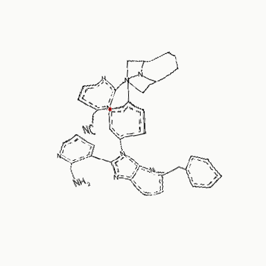 N#Cc1ccnc(N2CC3CCC(C2)N3Cc2ccc(-n3c(-c4cccnc4N)nc4ccc(-c5ccccc5)nc43)cc2)n1